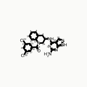 Nc1nc(NC2Cc3ccccc3N(C(=O)c3cc(Cl)cc(Cl)c3)C2)c2cn[nH]c2n1